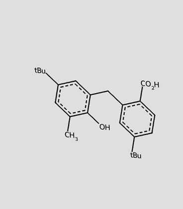 Cc1cc(C(C)(C)C)cc(Cc2cc(C(C)(C)C)ccc2C(=O)O)c1O